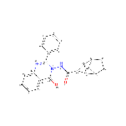 O=C(Nn1c(-c2ccccc2)nc2ccccc2c1=O)C1C2C3CCC(C3)C12